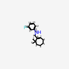 CC1(C)CCCCC=C1CNc1cccc(F)c1